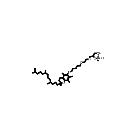 Cc1c(C)c2c(c(C)c1OCCCCCOCCOCC(CO)OP(C)(=O)O)CCC(C)(CCCC(C)CCCC(C)CCCC(C)C)O2